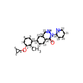 Cc1c(OC2CC2)cccc1-c1ccc2c(=O)n(-c3ccccn3)ncc2c1